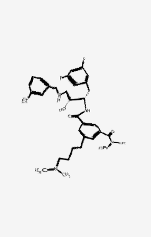 CCCN(CCC)C(=O)c1cc(CCCCN(C)C)cc(C(=O)N[C@@H](Cc2cc(F)cc(F)c2)[C@H](O)CNCc2cccc(CC)c2)c1